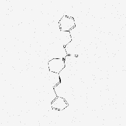 O=C(OCc1ccccc1)N1CCC[C@H](/C=C/c2ccccc2)C1